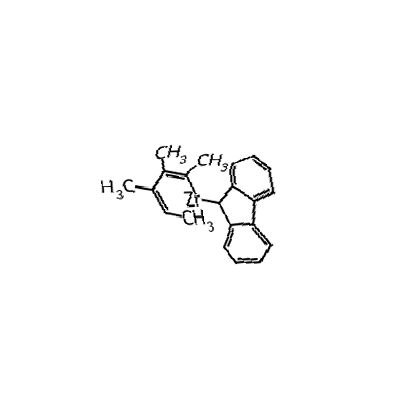 CC=C(C)C(C)=[C](C)[Zr][CH]1c2ccccc2-c2ccccc21